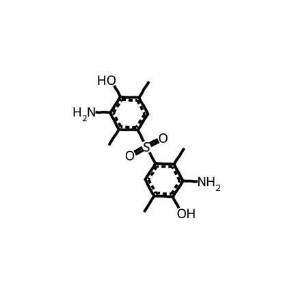 Cc1cc(S(=O)(=O)c2cc(C)c(O)c(N)c2C)c(C)c(N)c1O